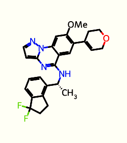 COc1cc2c(cc1C1=CCOCC1)c(N[C@H](C)c1cccc3c1CCC3(F)F)nc1ccnn12